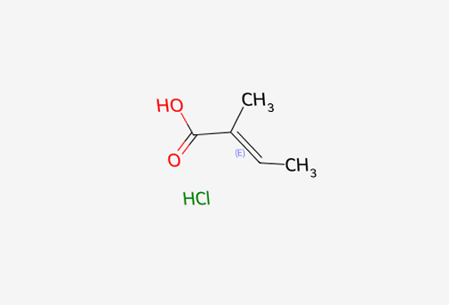 C/C=C(\C)C(=O)O.Cl